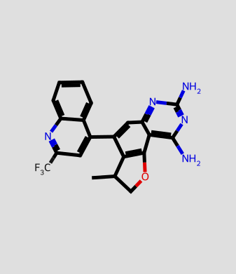 CC1COc2c1c(-c1cc(C(F)(F)F)nc3ccccc13)cc1nc(N)nc(N)c21